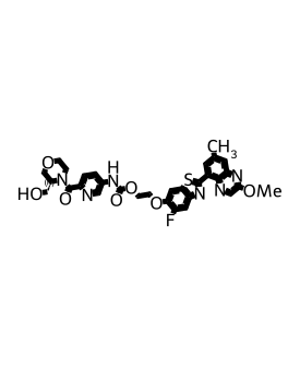 COc1cnc2c(-c3nc4cc(F)c(OCCOC(=O)Nc5ccc(C(=O)N6CCOC[C@H]6CO)nc5)cc4s3)cc(C)cc2n1